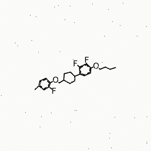 CCCCOc1ccc(C2CCC(COc3ccc(C)cc3F)CC2)c(F)c1F